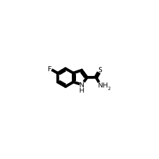 NC(=S)c1cc2cc(F)ccc2[nH]1